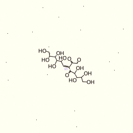 O=CC(=O)/C(=C\C(O)C(O)C(O)C(O)CO)C(=O)C(O)C(O)C(O)CO